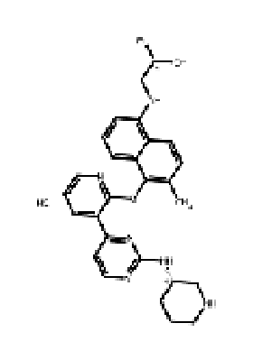 Cc1ccc2c(NC[C@H](O)C(C)C)cccc2c1Oc1ncccc1-c1ccnc(N[C@H]2CCCNC2)n1.Cl